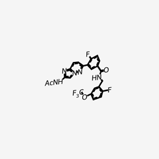 CC(=O)Nc1cn2nc(-c3cc(C(=O)NCc4cc(OC(F)(F)F)ccc4F)ccc3F)ccc2n1